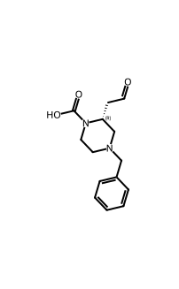 O=CC[C@@H]1CN(Cc2ccccc2)CCN1C(=O)O